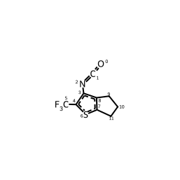 O=C=Nc1c(C(F)(F)F)sc2c1CCC2